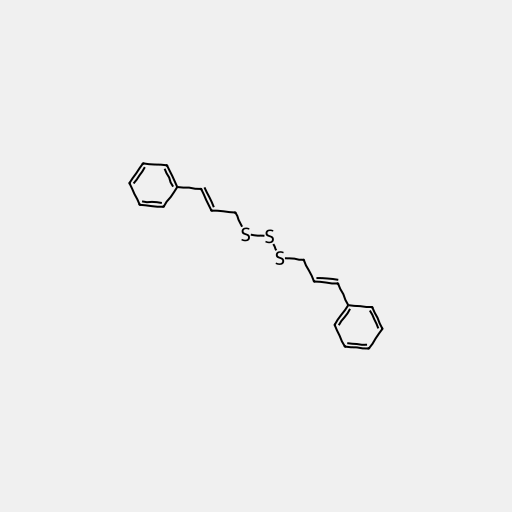 C(=Cc1ccccc1)CSSSCC=Cc1ccccc1